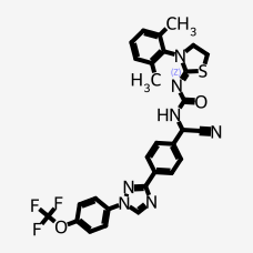 Cc1cccc(C)c1N1CCS/C1=N\C(=O)NC(C#N)c1ccc(-c2ncn(-c3ccc(OC(F)(F)F)cc3)n2)cc1